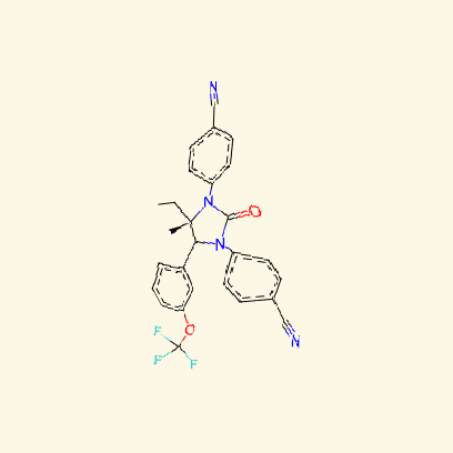 CC[C@@]1(C)C(c2cccc(OC(F)(F)F)c2)N(c2ccc(C#N)cc2)C(=O)N1c1ccc(C#N)cc1